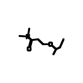 CCC(C)OCCC(=O)N(C)C